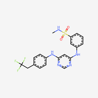 CNS(=O)(=O)c1cccc(Nc2cc(Nc3ccc(CC(F)(F)F)cc3)ncn2)c1